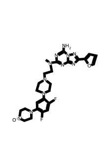 CN(CCN1CCN(c2cc(N3CC[S+]([O-])CC3)c(F)cc2F)CC1)c1nc(N)n2nc(-c3ccco3)nc2n1